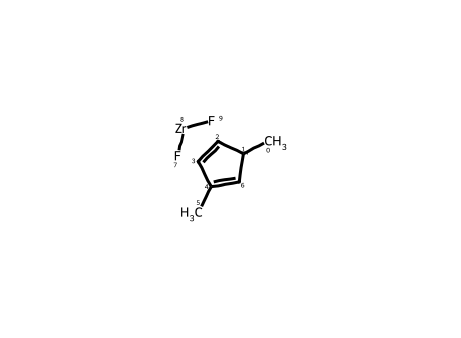 C[C]1C=CC(C)=C1.[F][Zr][F]